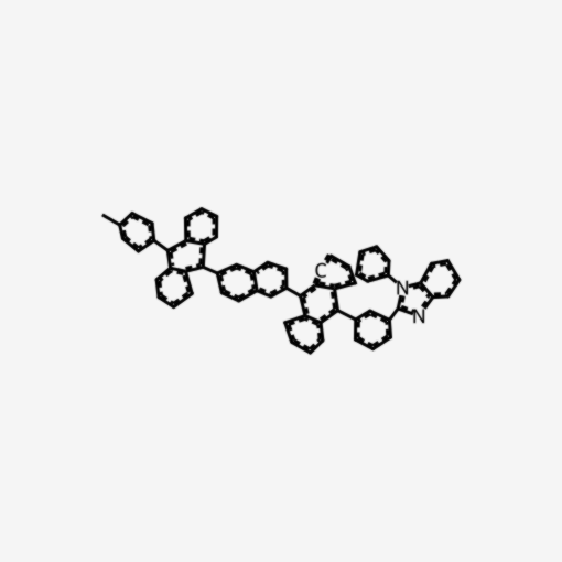 Cc1ccc(-c2c3ccccc3c(-c3ccc4cc(-c5c6ccccc6c(-c6cccc(-c7nc8ccccc8n7-c7ccccc7)c6)c6ccccc56)ccc4c3)c3ccccc23)cc1